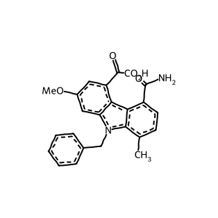 COc1cc(C(=O)C(=O)O)c2c3c(C(N)=O)ccc(C)c3n(Cc3ccccc3)c2c1